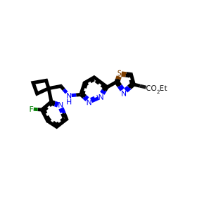 CCOC(=O)c1csc(-c2ccc(NCC3(c4ncccc4F)CCC3)nn2)n1